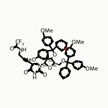 COc1ccc(C(OC[C@H]2O[C@@H](n3cc(C#CCNC(=O)C(F)(F)F)c(=O)[nH]c3=O)C[C@@H]2OC(c2ccccc2)(c2ccc(OC)cc2)c2ccc(OC)cc2)(c2ccccc2)c2ccc(OC)cc2)cc1